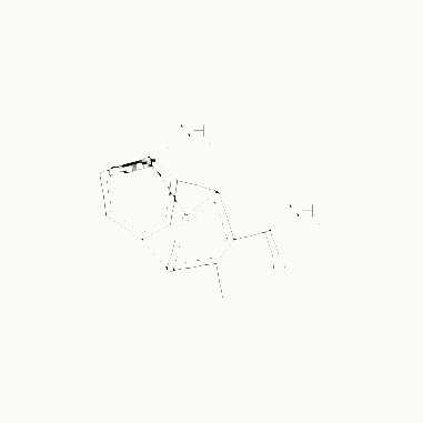 Cc1c2cc(C(N)=O)c(c1C(N)=O)-c1cccc-2c1